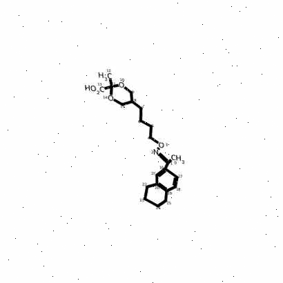 CC(=NOCCCCC1COC(C)(C(=O)O)OC1)c1ccc2c(c1)CCCC2